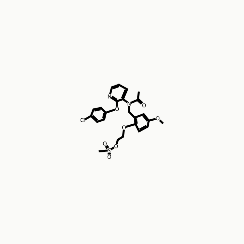 COc1ccc(OCCOS(C)(=O)=O)c(CN(C(C)=O)c2cccnc2Oc2ccc(Cl)cc2)c1